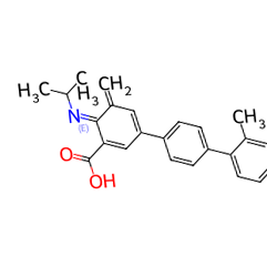 C=C1C=C(c2ccc(-c3ccccc3C)cc2)C=C(C(=O)O)/C1=N/C(C)C